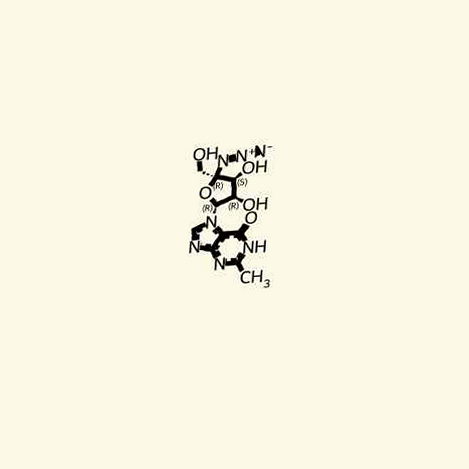 Cc1nc2ncn([C@@H]3O[C@@](CO)(N=[N+]=[N-])[C@@H](O)[C@H]3O)c2c(=O)[nH]1